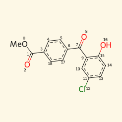 COC(=O)c1ccc(C(=O)c2cc(Cl)ccc2O)cc1